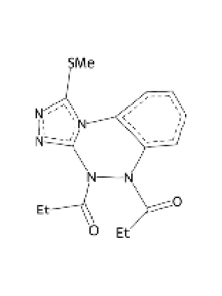 CCC(=O)N1c2ccccc2-n2c(SC)nnc2N1C(=O)CC